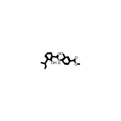 CCC(C)c1cccc(C(=O)Nc2ccc(C(=O)OC)cc2Cl)c1O